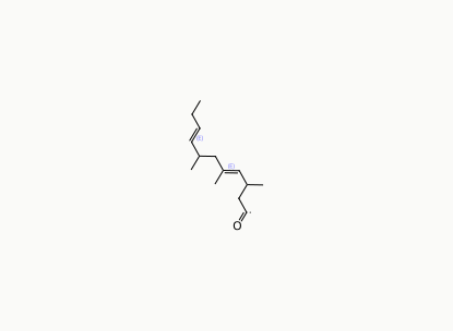 CC/C=C/C(C)C/C(C)=C/C(C)C[C]=O